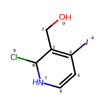 OCC1=C(I)C=CNC1Cl